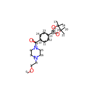 COCCN1CCN(C(=O)c2ccc(B3OC(C)(C)C(C)(C)O3)cc2)CC1